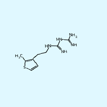 Cc1sccc1CCNC(=N)NC(=N)N